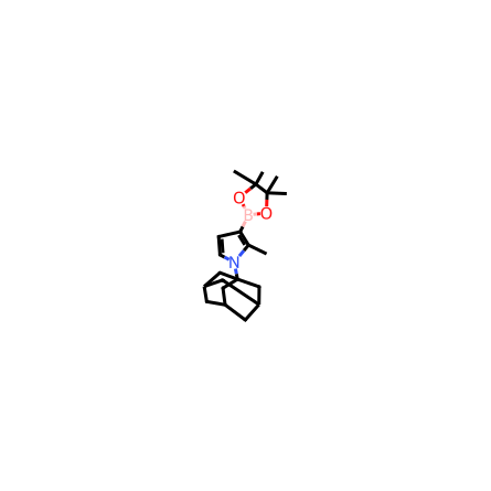 Cc1c(B2OC(C)(C)C(C)(C)O2)ccn1C12CC3CC(CC(C3)C1)C2